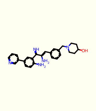 N=C(/C(N)=C/c1cccc(CN2CCC(O)CC2)c1)c1cc(-c2cccnc2)ccc1N